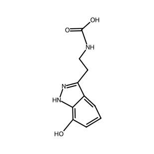 O=C(O)NCCc1n[nH]c2c(O)cccc12